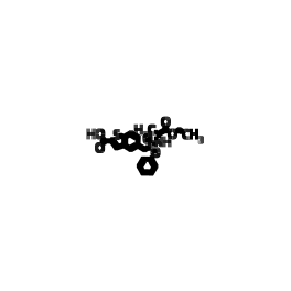 CCOC(=O)[C@H](C)NP(=O)(Cc1ccc2sc(C(=O)O)cc2c1)Oc1ccccc1